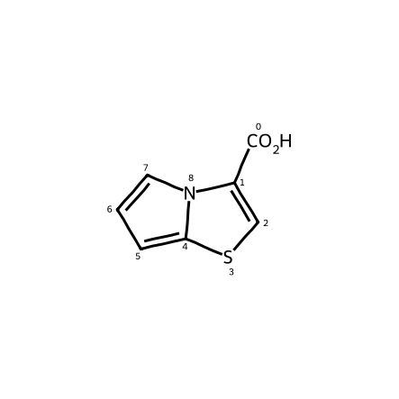 O=C(O)c1csc2cccn12